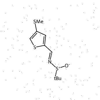 CSc1csc(C=N[S+]([O-])C(C)(C)C)c1